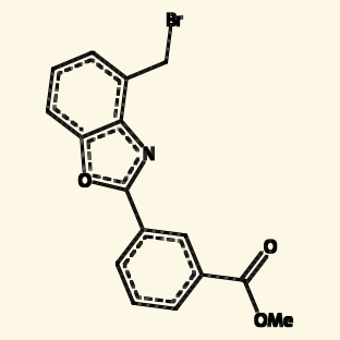 COC(=O)c1cccc(-c2nc3c(CBr)cccc3o2)c1